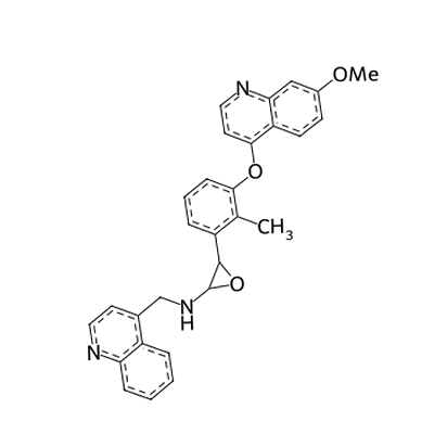 COc1ccc2c(Oc3cccc(C4OC4NCc4ccnc5ccccc45)c3C)ccnc2c1